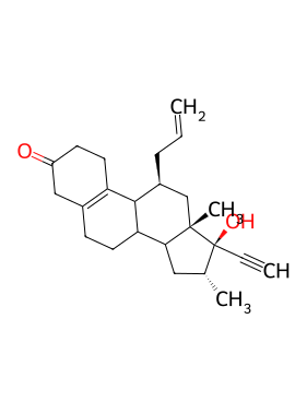 C#C[C@]1(O)[C@H](C)CC2C3CCC4=C(CCC(=O)C4)C3[C@@H](CC=C)C[C@@]21C